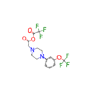 O=C(CN1CCN(c2cccc(OC(F)(F)F)c2)CC1)OC(=O)C(F)(F)F